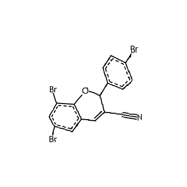 N#CC1=Cc2cc(Br)cc(Br)c2OC1c1ccc(Br)cc1